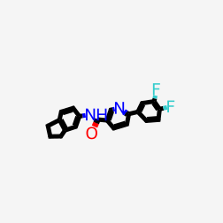 O=C(Nc1ccc2c(c1)CCC2)c1ccc(-c2ccc(F)c(F)c2)nc1